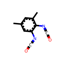 Cc1cc(C)c(N=C=O)c(N=C=O)c1